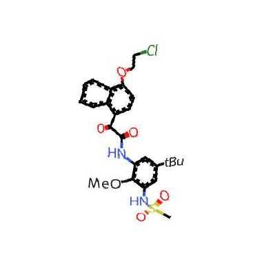 COc1c(NC(=O)C(=O)c2ccc(OCCCl)c3ccccc23)cc(C(C)(C)C)cc1NS(C)(=O)=O